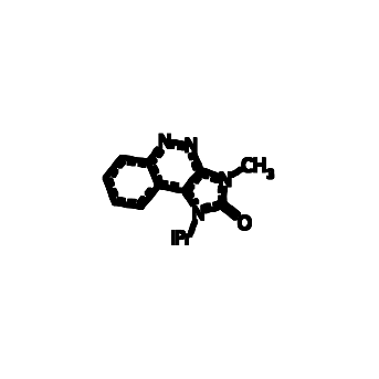 CC(C)n1c(=O)n(C)c2nnc3ccccc3c21